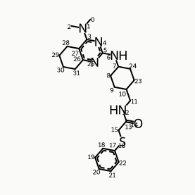 CN(C)c1nc(NC2CCC(CNC(=O)CSc3ccccc3)CC2)nc2c1CCCC2